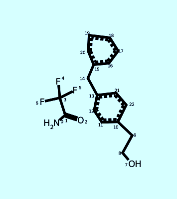 NC(=O)C(F)(F)F.OCCc1ccc(Cc2ccccc2)cc1